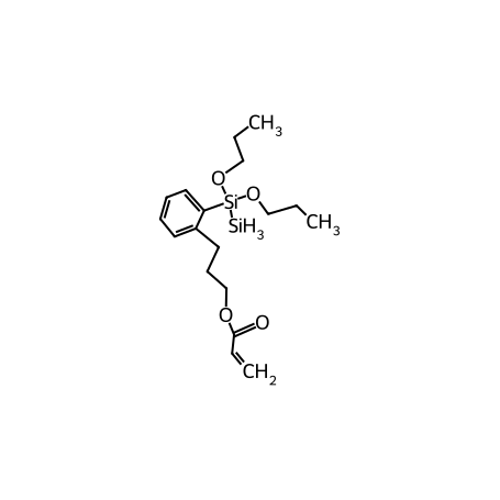 C=CC(=O)OCCCc1ccccc1[Si]([SiH3])(OCCC)OCCC